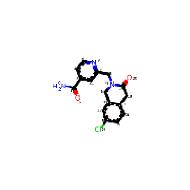 NC(=O)c1ccnc(CN2Cc3cc(Cl)ccc3CC2=O)c1